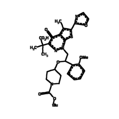 COc1ccccc1C(Cn1nc(C(C)(C)C(=O)O)c(=O)c2c(C)c(-c3ncco3)sc21)OC1CCN(C(=O)OC(C)(C)C)CC1